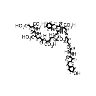 C[C@@H](Cc1ccc(O)cc1)C[C@H](C)C(=O)NNC(=O)OCCCCSSC[C@@H](NC(=O)[C@@H](Cc1ccccc1)NC(=O)[C@H](CC(=O)O)NC(=O)CC[C@H](NC(=O)CC[C@H](NC(=S)N[C@@H](CCC(=O)O)C(=O)O)C(=O)O)C(=O)O)C(=O)O